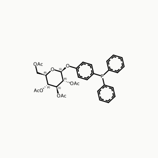 CC(=O)OC[C@H]1O[C@@H](Oc2ccc(P(c3ccccc3)c3ccccc3)cc2)[C@H](OC(C)=O)[C@@H](OC(C)=O)[C@@H]1OC(C)=O